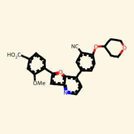 COc1cc(C(=O)O)ccc1-c1cc2nccc(-c3ccc(OC4CCOCC4)c(C#N)c3)c2o1